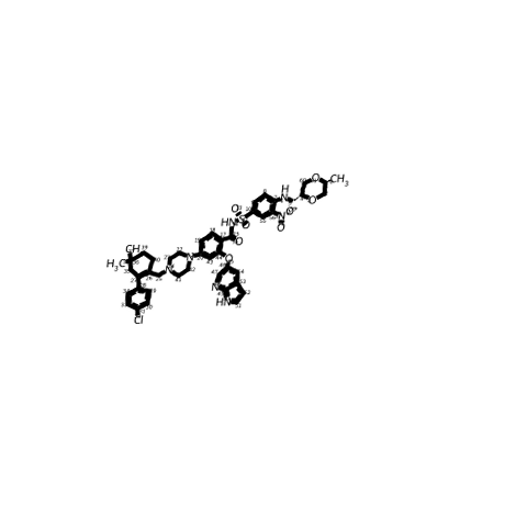 C[C@@H]1CO[C@H](CNc2ccc(S(=O)(=O)NC(=O)c3ccc(N4CCN(CC5=C(c6ccc(Cl)cc6)CC(C)(C)CC5)CC4)cc3Oc3cnc4[nH]ccc4c3)cc2[N+](=O)[O-])CO1